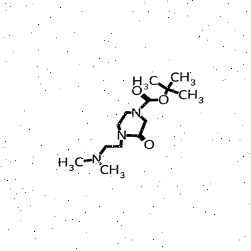 CN(C)CCN1CCN(C(=O)OC(C)(C)C)CC1=O